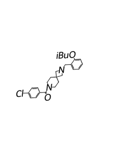 CC(C)COc1ccccc1CN1CC2(CCN(C(=O)c3ccc(Cl)cc3)CC2)C1